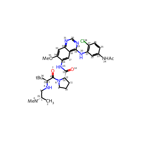 CN[C@@H](C)CN[C@H](C(=O)N1CCC[C@H]1C(=O)Nc1cc2c(Nc3cc(NC(C)=O)ccc3Cl)ncnc2cc1OC)C(C)(C)C